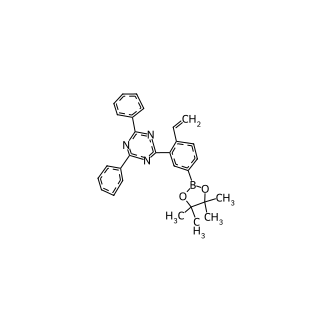 C=Cc1ccc(B2OC(C)(C)C(C)(C)O2)cc1-c1nc(-c2ccccc2)nc(-c2ccccc2)n1